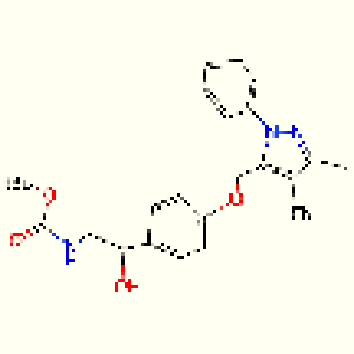 Cc1nn(-c2ccccc2)c(COc2ccc(C(O)CNC(=O)OC(C)(C)C)cc2)c1C#N